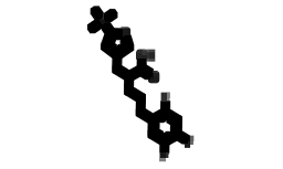 C[Si](C)(C)c1cc(CC(CCCc2cc(F)c(F)cc2F)C(=O)O)co1